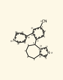 N#Cc1ccc(C2CCCCc3cncn32)c(-c2ccncc2)c1